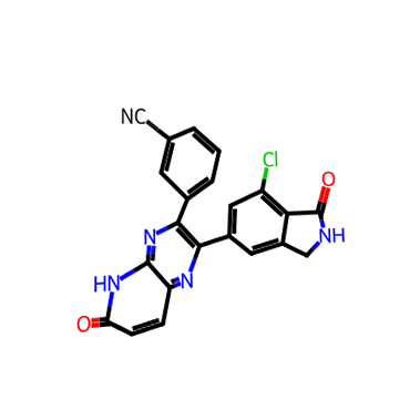 N#Cc1cccc(-c2nc3[nH]c(=O)ccc3nc2-c2cc(Cl)c3c(c2)CNC3=O)c1